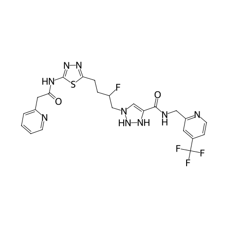 O=C(Cc1ccccn1)Nc1nnc(CCC(F)CN2C=C(C(=O)NCc3cc(C(F)(F)F)ccn3)NN2)s1